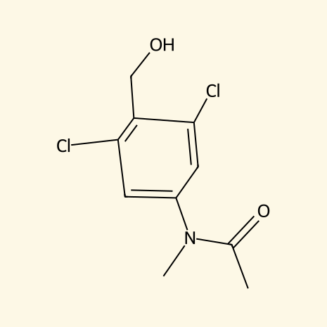 CC(=O)N(C)c1cc(Cl)c(CO)c(Cl)c1